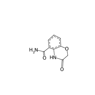 NC(=O)c1cccc2c1NC(=O)CO2